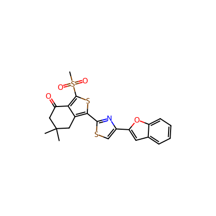 CC1(C)CC(=O)c2c(S(C)(=O)=O)sc(-c3nc(-c4cc5ccccc5o4)cs3)c2C1